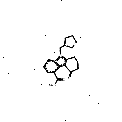 COC(=O)c1cccc2c1c1c(n2CC2CCCC2)CCCC1=O